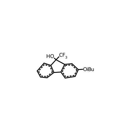 CC(C)COc1ccc2c(c1)C(O)(C(F)(F)F)c1ccccc1-2